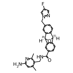 Cc1cc(N)nc(C)c1CNC(=O)c1ccc2c(c1)[C@@H]1O[C@H]2c2ccc(Cn3cc(F)cn3)cc21